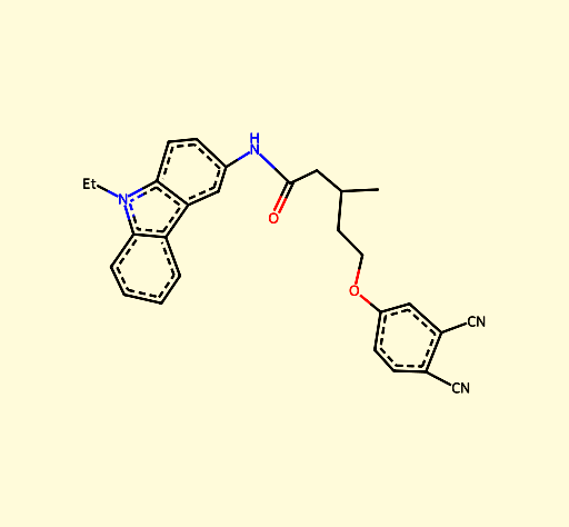 CCn1c2ccccc2c2cc(NC(=O)CC(C)CCOc3ccc(C#N)c(C#N)c3)ccc21